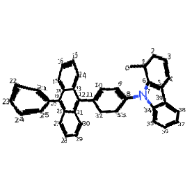 CC1CC=Cc2c1n(C1=CC=C(c3c4ccccc4c(-c4ccccc4)c4ccccc34)CC1)c1ccccc21